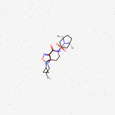 O=C(N[C@H]1C[C@H]2CC[C@@H](C1)N2S(=O)(=O)N1CCC(NCCC(F)(F)F)CC1)c1cc(C2CC2)on1